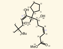 CCCCC(C)(C)C/C=C(/O)[C@](C(=O)O)(C1CCCC1)[C@H](O)C/C=C\CC(=O)OC